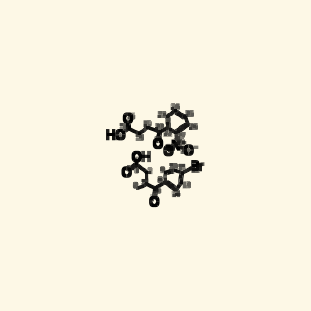 CC(CC(=O)O)C(=O)c1ccc(Br)cc1.O=C(O)CCC(=O)c1ccccc1[N+](=O)[O-]